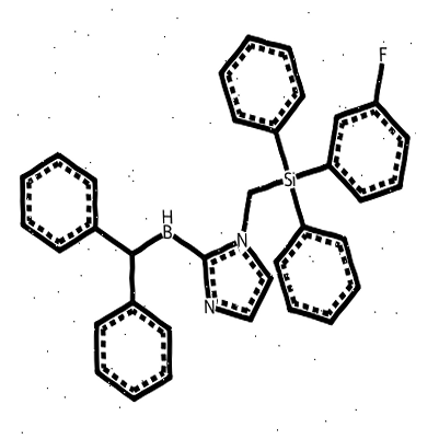 Fc1cccc([Si](Cn2ccnc2BC(c2ccccc2)c2ccccc2)(c2ccccc2)c2ccccc2)c1